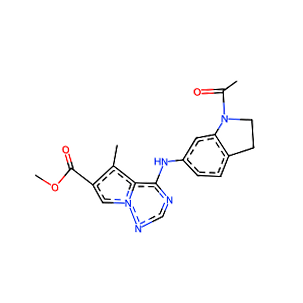 COC(=O)c1cn2ncnc(Nc3ccc4c(c3)N(C(C)=O)CC4)c2c1C